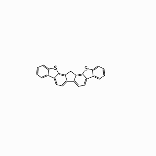 c1ccc2c(c1)sc1c3c(ccc12)-c1ccc2c(sc4ccccc42)c1C3